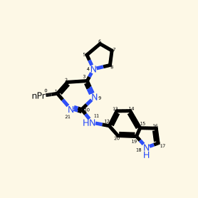 CCCc1cc(N2C[CH]CC2)nc(Nc2ccc3cc[nH]c3c2)n1